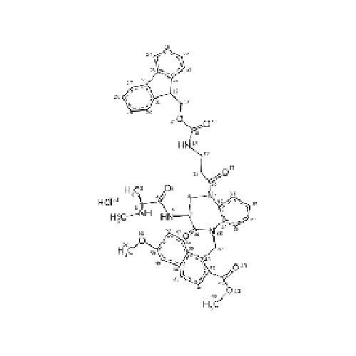 CN[C@@H](C)C(=O)N[C@H]1CN(C(=O)CCNC(=O)OCC2c3ccccc3-c3ccccc32)c2ccccc2N(Cc2c(C(=O)OC)ccc3cc(OC)ccc23)C1=O.Cl